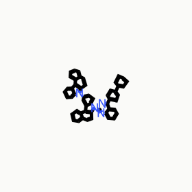 c1ccc(-c2ccc(-c3nc(-n4c5ccc(-n6c7ccccc7c7c8ccccc8ccc76)cc5c5c6ccccc6ccc54)nc4ccccc34)cc2)cc1